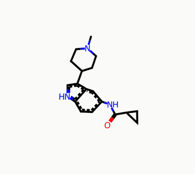 CN1CCC(c2c[nH]c3ccc(NC(=O)C4CC4)cc23)CC1